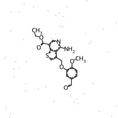 CCOC(=O)c1cnc(N)c2c(COc3cc(C=O)ccc3OC)csc12